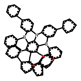 Fc1cccc(F)c1N1c2ccccc2B2c3cc(-c4ccccc4)ccc3N3c4ccc(-c5ccccc5)cc4B4c5ccccc5Sc5c4c3c2c1c5-c1c(-c2ccccc2)cccc1-c1ccccc1